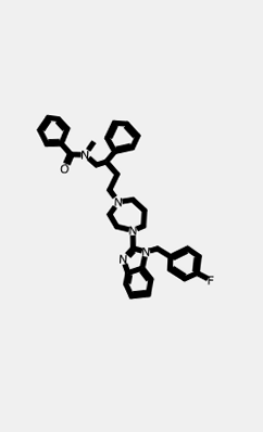 CN(CC(CCN1CCCN(c2nc3ccccc3n2Cc2ccc(F)cc2)CC1)c1ccccc1)C(=O)c1ccccc1